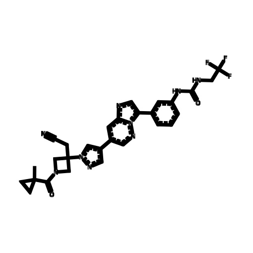 CC1(C(=O)N2CC(CC#N)(n3cc(-c4cnn5c(-c6cccc(NC(=O)NCC(F)(F)F)c6)cnc5c4)cn3)C2)CC1